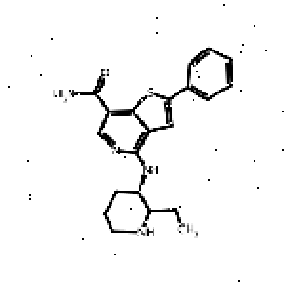 CC[C@H]1NCCC[C@H]1Nc1ncc(C(N)=O)c2sc(-c3ccccc3)cc12